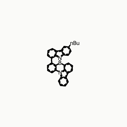 CCCCc1ccc2c(c1)c1cccc3c1n2B1c2c-3cccc2-n2c3ccccc3c3cccc1c32